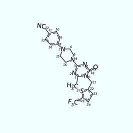 Cc1nc(N2CCN(c3ccc(C#N)cc3)CC2)nc(=O)n1Cc1ccc(C(F)(F)F)s1